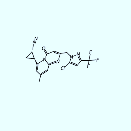 Cc1cc([C@H]2C[C@@H]2C#N)n2c(=O)cc(Cn3nc(C(F)(F)F)cc3Cl)nc2c1